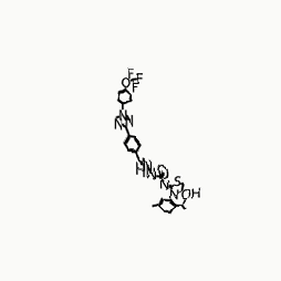 Cc1ccc(C(C)C)c(N2/C(=N/C(=O)N/N=C/c3ccc(-c4ncn(-c5ccc(OC(F)(F)F)cc5)n4)cc3)SCC2O)c1